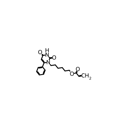 C=CC(=O)OCCCCCCn1c(-c2ccccc2)cc(=O)[nH]c1=O